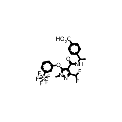 CC(NC(=O)c1c(C(F)F)nn(C)c1Oc1cccc(S(F)(F)(F)(F)F)c1)c1ccc(C(=O)O)cc1